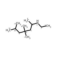 CCNC(C)CC(C)(C)CC(C)C